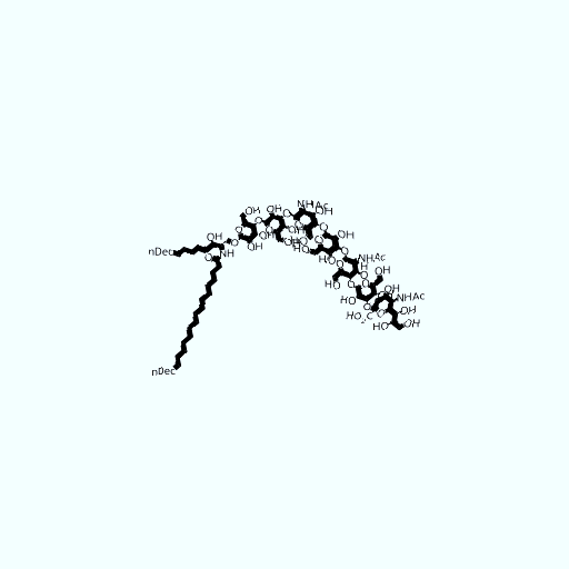 CCCCCCCCCCCCC/C=C/[C@@H](O)[C@H](CO[C@@H]1OC(CO)[C@@H](O[C@@H]2OC(CO)[C@H](O)[C@H](O[C@@H]3OC(CO)[C@@H](O[C@@H]4OC(CO)[C@H](O)[C@H](O[C@H]5OC(CO)[C@@H](O[C@@H]6OC(CO)[C@H](O)[C@H](O[C@]7(C(=O)O)CC(O)[C@@H](NC(C)=O)C([C@H](O)[C@H](O)CO)O7)C6O)[C@H](O)C5NC(C)=O)C4O)[C@H](O)C3NC(C)=O)C2O)[C@H](O)C1O)NC(=O)CCCCCCCCCCCCCCCCCCCCCCCCC